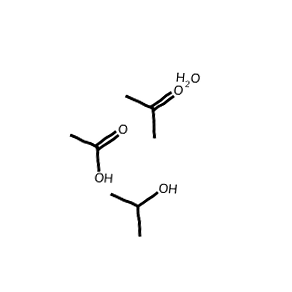 CC(=O)O.CC(C)=O.CC(C)O.O